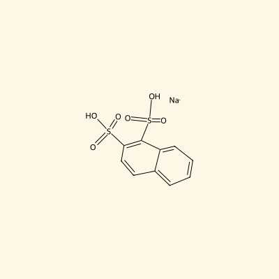 O=S(=O)(O)c1ccc2ccccc2c1S(=O)(=O)O.[Na]